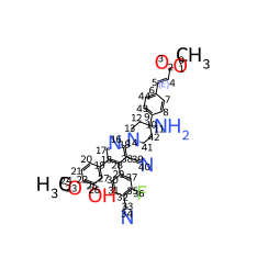 COC(=O)/C=C/c1ccc(C2(N)CCN(c3ncc(-c4ccc(OC)c(O)c4)c(-c4ccc(C#N)c(F)c4)c3C#N)CC2)cc1